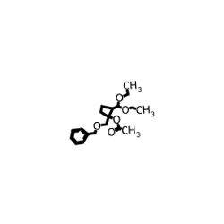 CCOC(OCC)C1CCC1(COCc1ccccc1)OC(C)=O